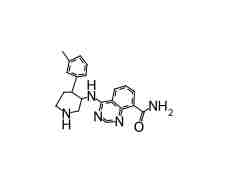 Cc1cccc(C2CCNCC2Nc2ncnc3c(C(N)=O)cccc23)c1